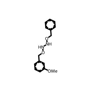 COc1cccc(CONNOCc2ccccc2)c1